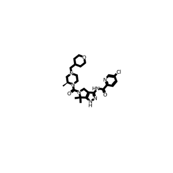 C[C@H]1CN(CC2CCOCC2)CCN1C(=O)N1Cc2c(NC(=O)c3ccc(Cl)cn3)n[nH]c2C1(C)C